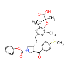 CSc1ccc(C(=O)[C@H]2CN(C(=O)Oc3ccccc3)C[C@@H]2CCc2cc(C)c(OC(C)(C)C(=O)O)c(C)c2)cc1